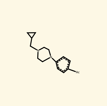 CC(=O)c1ccc(N2CCN(CC3CC3)CC2)cc1